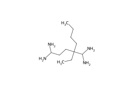 CCCCC(CC)(CCC(N)N)C(N)N